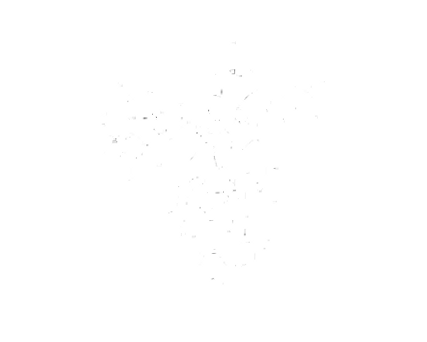 CC(C)(CCc1ccc(-c2ccc(Cl)c3c(N(C(=O)Cc4ccccc4OP(=O)(O)O)S(C)(=O)=O)nn(CC(F)(F)F)c23)c([C@H](Cc2cc(F)cc(F)c2)NC(=O)Cn2nc(C(F)(F)F)c3c2C(F)(F)C2C[C@H]32)n1)S(C)(=O)=O